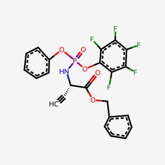 C#C[C@H](NP(=O)(Oc1ccccc1)Oc1c(F)c(F)c(F)c(F)c1F)C(=O)OCc1ccccc1